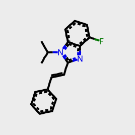 CC(C)n1c(C=Cc2ccccc2)nc2c(F)cccc21